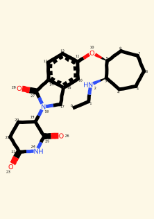 CCN[C@@H]1CCCCC[C@@H]1Oc1ccc2c(c1)CN(C1CCC(=O)NC1=O)C2=O